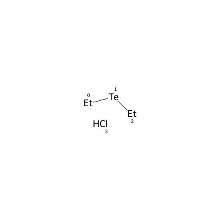 CC[Te]CC.Cl